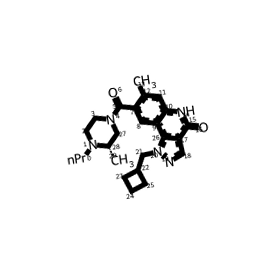 CCCN1CCN(C(=O)c2cc3c(cc2C)[nH]c(=O)c2cnn(CC4CCC4)c23)C[C@@H]1C